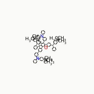 C[Si](C)(C)c1ccc(C(C2=CC3Oc4c5c(cc(-c6cccc(N(c7ccccc7)c7ccc([Si](C)(C)C)cc7)c6)c4C3C=C2)C2(c3ccccc3-c3ccccc32)c2cc(-c3cccc(N(c4ccccc4)c4ccc([Si](C)(C)C)cc4)c3)ccc2-5)c2ccccc2)cc1